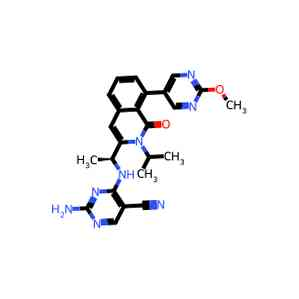 COc1ncc(-c2cccc3cc([C@H](C)Nc4nc(N)ncc4C#N)n(C(C)C)c(=O)c23)cn1